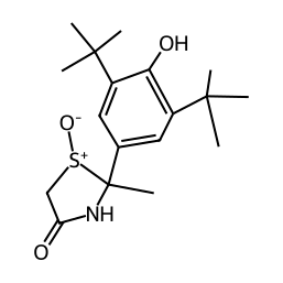 CC(C)(C)c1cc(C2(C)NC(=O)C[S+]2[O-])cc(C(C)(C)C)c1O